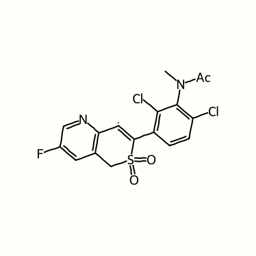 CC(=O)N(C)c1c(Cl)ccc(C2=[C]c3ncc(F)cc3CS2(=O)=O)c1Cl